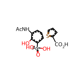 CC(=O)Nc1cccc([As](=O)(O)O)c1O.O=C(O)c1cccs1